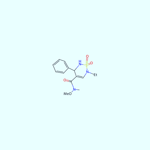 CCN1C=C(C(=O)N(C)OC)C(c2ccccc2)NS1(=O)=O